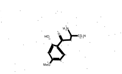 COc1ccc(C(=O)CC(N)C(=O)O)cc1.Cl